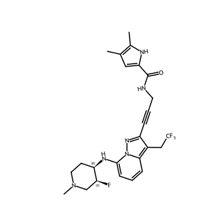 Cc1cc(C(=O)NCC#Cc2nn3c(N[C@@H]4CCN(C)C[C@@H]4F)cccc3c2CC(F)(F)F)[nH]c1C